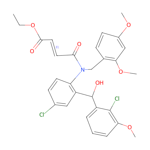 CCOC(=O)/C=C/C(=O)N(Cc1ccc(OC)cc1OC)c1ccc(Cl)cc1C(O)c1cccc(OC)c1Cl